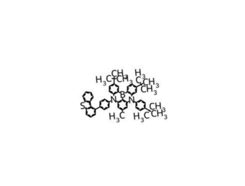 Cc1cc2c3c(c1)N(c1ccc(C(C)(C)C)cc1)c1cc(C(C)(C)C)ccc1B3c1cc(C(C)(C)C)ccc1N2c1ccc(-c2cccc3sc4ccccc4c23)cc1